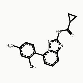 Cc1ccc(-c2cccc3nc(NC(=O)C4CC4)nn23)c(C)c1